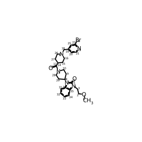 COCCn1c(=O)n(C2CCN(C(=O)C3CCN(Cc4ccnc(Br)c4)CC3)CC2)c2ccccc21